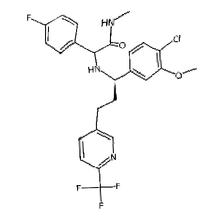 CNC(=O)C(N[C@H](CCc1ccc(C(F)(F)F)nc1)c1ccc(Cl)c(OC)c1)c1ccc(F)cc1